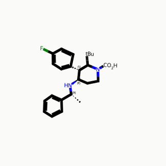 C[C@@H](N[C@@H]1CCN(C(=O)O)C(C(C)(C)C)[C@H]1c1ccc(F)cc1)c1ccccc1